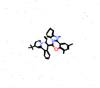 C=CC1C(C2Oc3c(C)cc(C)cc3-c3n(C)c4ccccc4[n+]32)c2ccccc2-c2cc(C(C)(C)C)cc[n+]21